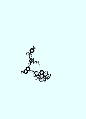 Cc1c(C(=O)O)n(CCCOc2cc(SCc3cc(COC(=O)c4ccc(Br)cc4)nn3C)cc3cc(F)ccc23)c2ccc(Cl)c(-c3c(CO)nn4c3COCC4)c12